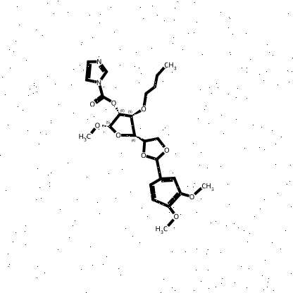 CCCCO[C@@H]1[C@@H](OC(=O)n2ccnc2)[C@@H](OC)O[C@@H]1C1COC(c2ccc(OC)c(OC)c2)O1